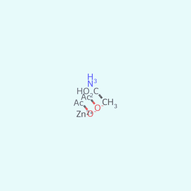 CC(=O)O.CC(=O)[O-].CC(=O)[O-].N.[Zn+2]